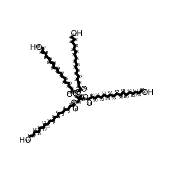 O=C(CCCCCCCCCCCCCCCCCO)OCC(COC(=O)CCCCCCCCCCCCCCCCCO)(COC(=O)CCCCCCCCCCCCCCCCCO)COC(=O)CCCCCCCCCCCCCCCCCO